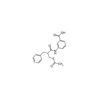 CC(=O)SCC(Cc1ccccc1)C(=O)Nc1cccc(C(=O)O)c1